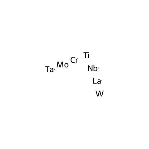 [Cr].[La].[Mo].[Nb].[Ta].[Ti].[W]